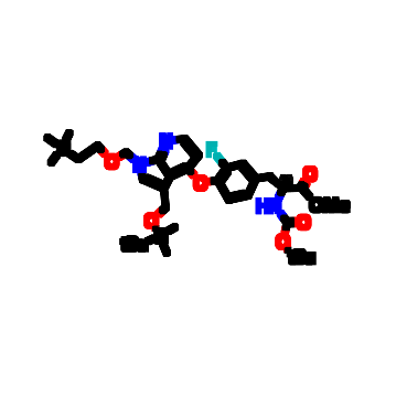 COC(=O)[C@H](Cc1ccc(Oc2ccnc3c2c(CO[Si](C)(C)C(C)(C)C)cn3COCC[Si](C)(C)C)c(F)c1)NC(=O)OC(C)(C)C